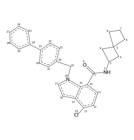 O=C(NC1CC2(CCC2)C1)c1ccc(Cl)c2ccn(Cc3ccc(-c4ccccc4)cc3)c12